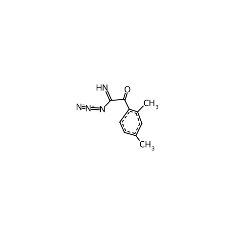 Cc1ccc(C(=O)C(=N)N=[N+]=[N-])c(C)c1